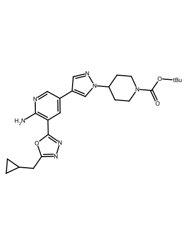 CC(C)(C)OC(=O)N1CCC(n2cc(-c3cnc(N)c(-c4nnc(CC5CC5)o4)c3)cn2)CC1